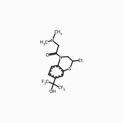 CCC1CN(C(=O)CN(C)C)c2ccc(C(O)(C(F)(F)F)C(F)(F)F)cc2S1